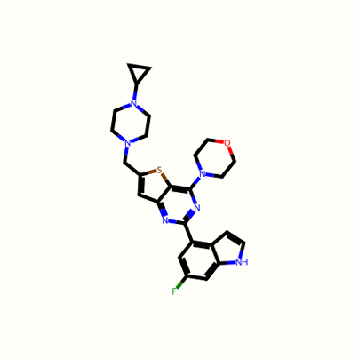 Fc1cc(-c2nc(N3CCOCC3)c3sc(CN4CCN(C5CC5)CC4)cc3n2)c2cc[nH]c2c1